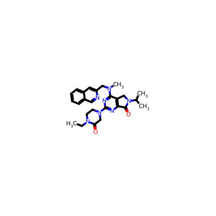 CCN1CCN(c2nc3c(c(N(C)Cc4cc5ccccc5cn4)n2)CN(C(C)C)C3=O)CC1=O